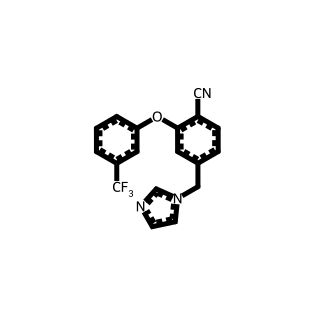 N#Cc1ccc(Cn2ccnc2)cc1Oc1cccc(C(F)(F)F)c1